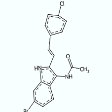 CC(=O)Nc1c(C=Cc2ccc(Cl)cc2)[nH]c2cc(Br)ccc12